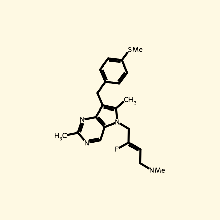 CNC/C=C(\F)Cn1c(C)c(Cc2ccc(SC)cc2)c2nc(C)ncc21